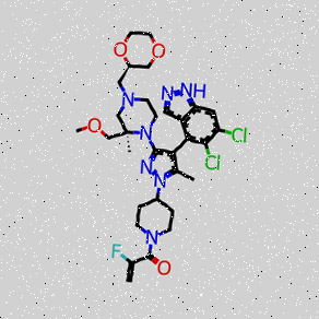 C=C(F)C(=O)N1CCC(n2nc(N3CCN(C[C@@H]4COCCO4)C[C@]3(C)COC)c(-c3c(Cl)c(Cl)cc4[nH]ncc34)c2C)CC1